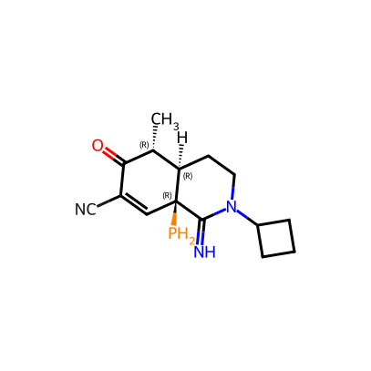 C[C@H]1C(=O)C(C#N)=C[C@@]2(P)C(=N)N(C3CCC3)CC[C@H]12